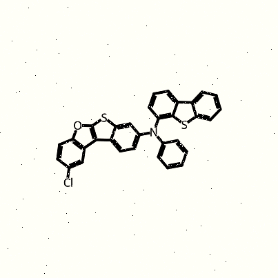 Clc1ccc2oc3sc4cc(N(c5ccccc5)c5cccc6c5sc5ccccc56)ccc4c3c2c1